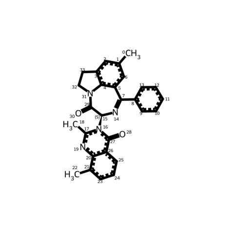 Cc1cc2c3c(c1)C(c1ccccc1)=N[C@@H](n1c(C)nc4c(C)cccc4c1=O)C(=O)N3CC2